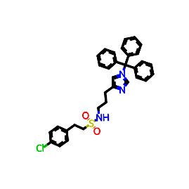 O=S(=O)(CCc1ccc(Cl)cc1)NCCCc1cn(C(c2ccccc2)(c2ccccc2)c2ccccc2)cn1